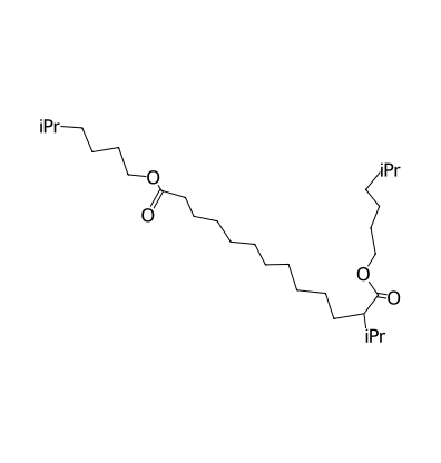 CC(C)CCCCOC(=O)CCCCCCCCCCC(C(=O)OCCCCC(C)C)C(C)C